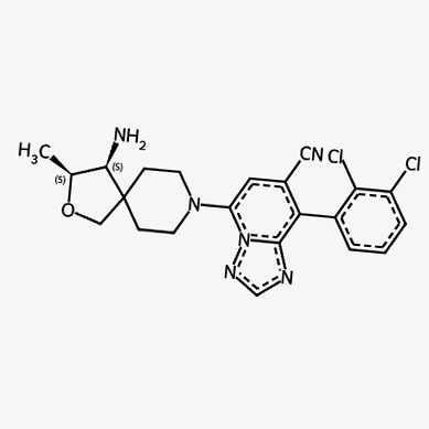 C[C@@H]1OCC2(CCN(c3cc(C#N)c(-c4cccc(Cl)c4Cl)c4ncnn34)CC2)[C@@H]1N